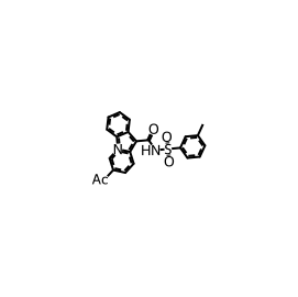 CC(=O)c1ccc2c(C(=O)NS(=O)(=O)c3cccc(C)c3)c3ccccc3n2c1